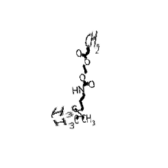 C=CC(=O)OCCOC(=O)NCCCS(C)(C)C